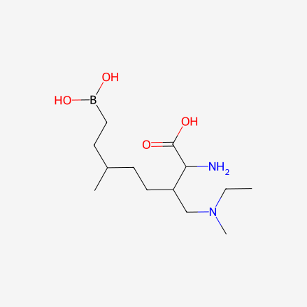 CCN(C)CC(CCC(C)CCB(O)O)C(N)C(=O)O